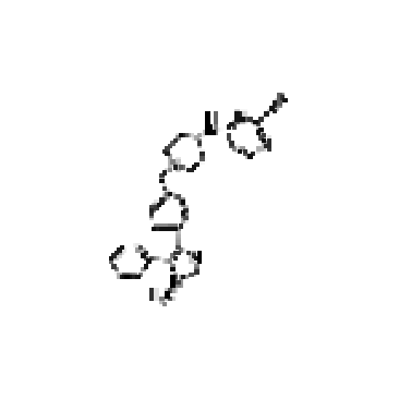 Cn1cnc(-c2ccc(CN3CCC(Nc4ccnc(C#N)n4)CC3)cc2)c1-c1ccccc1